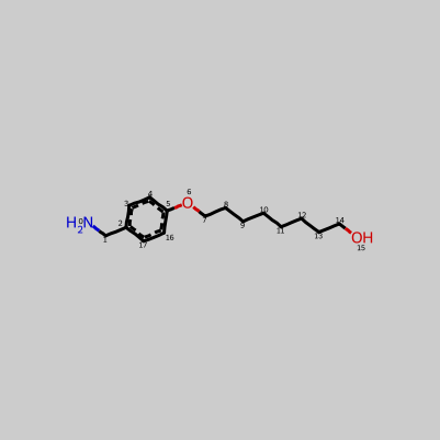 NCc1ccc(OCCCCCCCCO)cc1